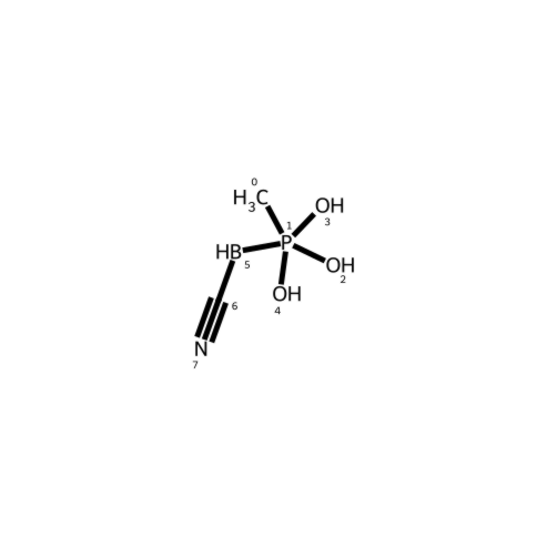 CP(O)(O)(O)BC#N